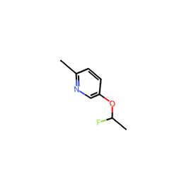 Cc1ccc(OC(C)F)cn1